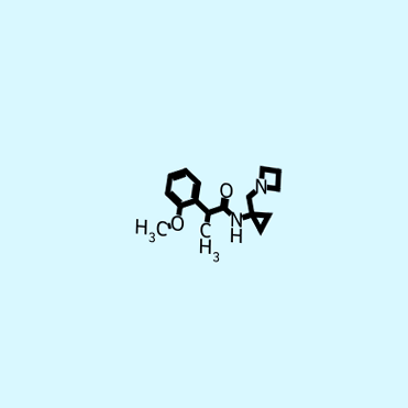 COc1ccccc1C(C)C(=O)NC1(CN2CCC2)CC1